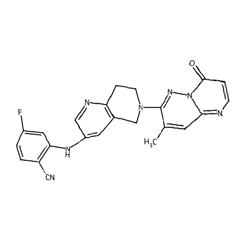 Cc1cc2nccc(=O)n2nc1N1CCc2ncc(Nc3cc(F)ccc3C#N)cc2C1